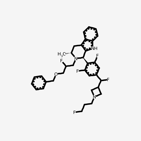 C[C@@H]1Cc2c([nH]c3ccccc23)[C@@H](c2c(F)cc(C(F)C3CN(CCCF)C3)cc2F)N1CC(F)COCc1ccccc1